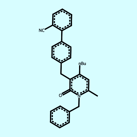 CCCCc1cc(C)n(Cc2ccccc2)c(=O)c1Cc1ccc(-c2ccccc2C#N)cc1